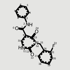 O=C(Nc1ccccc1)c1c[nH]c(=O)n(Cc2ccccc2F)c1=O